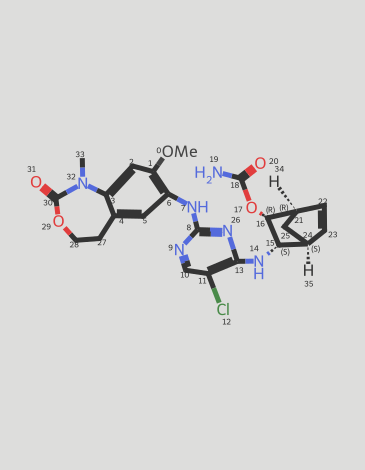 COc1cc2c(cc1Nc1ncc(Cl)c(N[C@@H]3[C@H](OC(N)=O)[C@H]4C=C[C@@H]3C4)n1)CCOC(=O)N2C